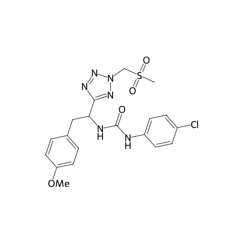 COc1ccc(CC(NC(=O)Nc2ccc(Cl)cc2)c2nnn(CS(C)(=O)=O)n2)cc1